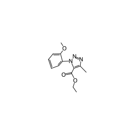 CCOC(=O)c1c(C)nnn1-c1ccccc1OC